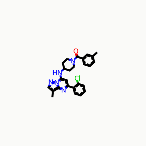 Cc1cccc(C(=O)N2CCC(Nc3cc(-c4ccccc4Cl)nc4c(C)cnn34)CC2)c1